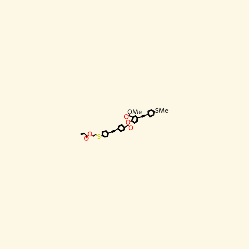 C=CC(=O)OCCSc1ccc(C#Cc2ccc(C(=O)Oc3ccc(C#Cc4ccc(SC)cc4)cc3C(=O)OC)cc2)cc1